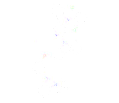 [2H]C([2H])([2H])[n+]1cn(-c2cccc(Oc3ccc4c5ccccc5n(-c5cc6c(cn5)c5ccccc5n6-c5c(Cl)cccc5Cl)c4c3)c2)c2ccccc21.[I-]